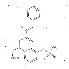 CC(=O)NCC(CC(=O)OCc1ccccc1)c1cccc(OS(C)(=O)=O)c1